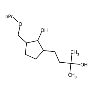 CCCOCC1CCC(CCC(C)(C)O)C1O